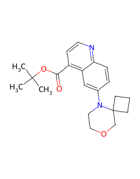 CC(C)(C)OC(=O)c1ccnc2ccc(N3CCOCC34CCC4)cc12